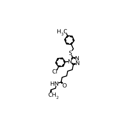 C=CCNC(=O)CCCCc1nnc(SCc2ccc(C)cc2)n1-c1cccc(Cl)c1